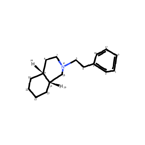 c1ccc(CCN2CC[C@H]3CCCC[C@H]3C2)cc1